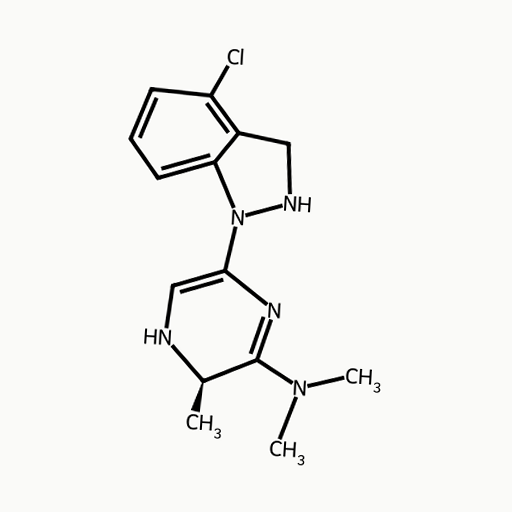 C[C@H]1NC=C(N2NCc3c(Cl)cccc32)N=C1N(C)C